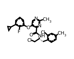 Cc1ccc(C[C@H](CCl)NC(=O)c2nc(C)ncc2Oc2cccc(C3CC3)c2F)c(Cl)c1